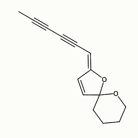 CC#CC#C/C=C1\C=CC2(CCCCO2)O1